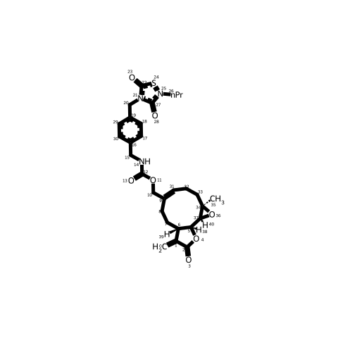 C=C1C(=O)O[C@H]2[C@H]1CC/C(COC(=O)NCc1ccc(Cn3c(=O)sn(CCC)c3=O)cc1)=C\CC[C@@]1(C)O[C@@H]21